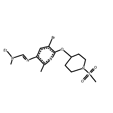 CCN(C)/C=N/c1cc(Br)c(OC2CCN(S(C)(=O)=O)CC2)nc1C